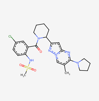 Cc1cn2nc(C3CCCCN3C(=O)c3cc(Cl)ccc3NS(C)(=O)=O)cc2nc1N1CCCC1